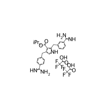 CC(C)OC(=O)c1c(Cc2ccc(C(=N)N)cc2)c[nH]c1Cc1cccc(C(=N)N)c1.O=C(O)C(F)(F)F.O=C(O)C(F)(F)F